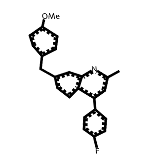 COc1ccc(Cc2ccc3c(-c4ccc(F)cc4)cc(C)nc3c2)cc1